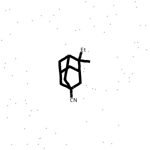 CCC1(C)C2CC3CC1CC(C#N)(C3)C2